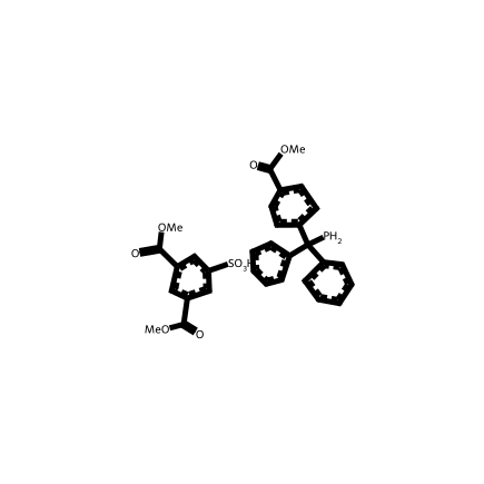 COC(=O)c1cc(C(=O)OC)cc(S(=O)(=O)O)c1.COC(=O)c1ccc(C(P)(c2ccccc2)c2ccccc2)cc1